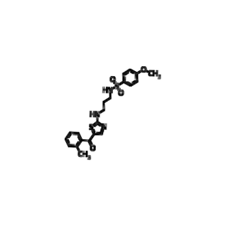 COc1ccc(S(=O)(=O)NCCCNc2ncc(C(=O)c3ccccc3C)s2)cc1